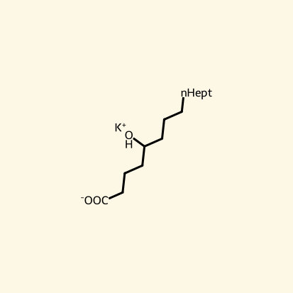 CCCCCCCCCCC(O)CCCC(=O)[O-].[K+]